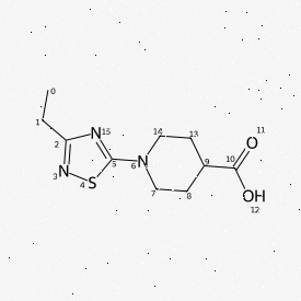 CCc1nsc(N2CCC(C(=O)O)CC2)n1